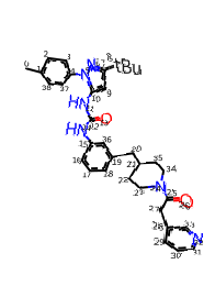 Cc1ccc(-n2nc(C(C)(C)C)cc2NC(=O)Nc2cccc(CC3CCN(C(=O)Cc4cccnc4)CC3)c2)cc1